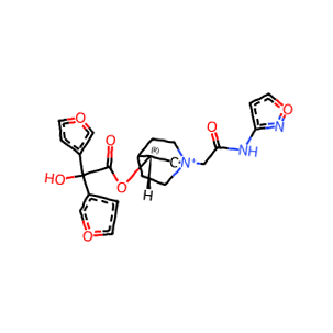 O=C(C[N+]12CCC(CC1)[C@@H](OC(=O)C(O)(c1ccoc1)c1ccoc1)C2)Nc1ccon1